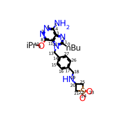 CCCCc1nc2c(N)nnc(OC(C)C)c2n1Cc1ccc(CNC2CS(=O)(=O)C2)cc1